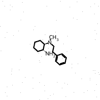 CN(CCc1ccccc1)[C@@H]1CCCC[C@H]1N